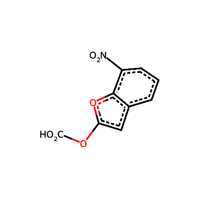 O=C(O)Oc1cc2cccc([N+](=O)[O-])c2o1